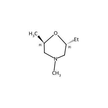 CC[C@@H]1CN(C)C[C@@H](C)O1